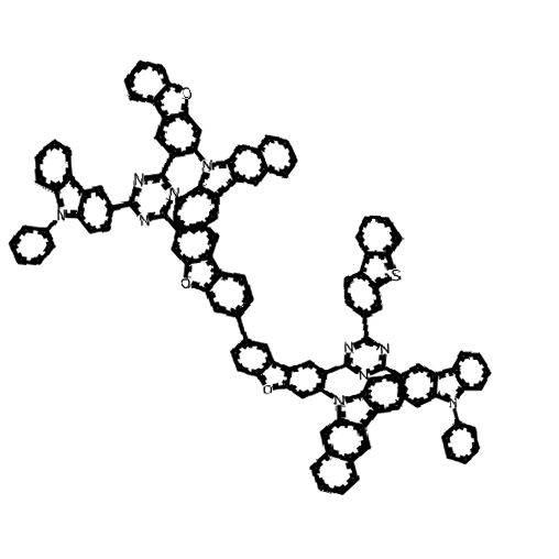 c1ccc(-n2c3ccccc3c3cc(-c4nc(-c5ccc6c(c5)oc5cc(-c7ccc8oc9cc(-n%10c%11ccccc%11c%11cc%12ccccc%12cc%11%10)c(-c%10nc(-c%11ccc%12c(c%11)sc%11ccccc%11%12)nc(-c%11ccc%12c(c%11)c%11ccccc%11n%12-c%11ccccc%11)n%10)cc9c8c7)ccc56)nc(-c5cc6c(cc5-n5c7ccccc7c7cc8ccccc8cc75)oc5ccccc56)n4)ccc32)cc1